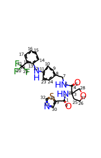 O=C(N[C@@]1(C(=O)NCc2ccc(Nc3ccccc3C(F)(F)F)cc2)CCOC1)c1cncs1